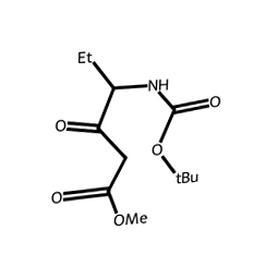 CCC(NC(=O)OC(C)(C)C)C(=O)CC(=O)OC